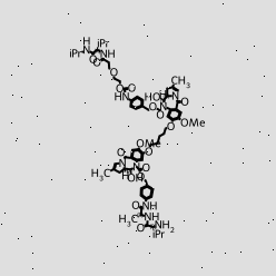 COc1cc2c(cc1OCCCCCOc1cc3c(cc1OC)C(=O)N1C=C(C)C[C@H]1[C@H](O)N3C(=O)OCc1ccc(NC(=O)[C@@H](C)NC(=O)[C@H](N)C(C)C)cc1)N(C(=O)OCc1ccc(NC(=O)OCCOCCC(=O)N[C@@H](C(=O)NC(C)C)C(C)C)cc1)[C@@H](O)[C@@H]1CC(C)=CN1C2=O